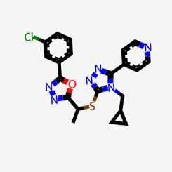 CC(Sc1nnc(-c2ccncc2)n1CC1CC1)c1nnc(-c2cccc(Cl)c2)o1